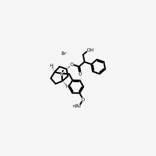 CCCCOc1ccc(C[N+]2(C)[C@@H]3CC[C@H]2C[C@H](OC(=O)C(CO)c2ccccc2)C3)cc1.[Br-]